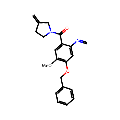 C=Nc1cc(OCc2ccccc2)c(OC)cc1C(=O)N1CCC(=C)C1